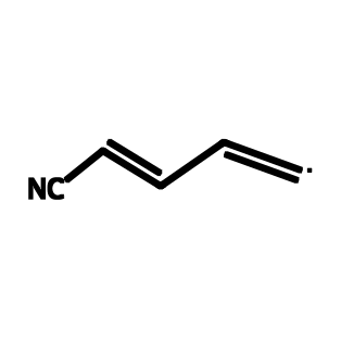 [CH]=CC=CC#N